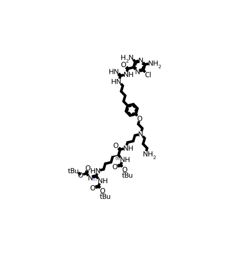 CC(C)(C)OC(=O)/N=C(\NCCCC[C@H](NC(=O)OC(C)(C)C)C(=O)NCCCN(CCCN)CCOc1ccc(CCCCNC(=N)NC(=O)c2nc(Cl)c(N)nc2N)cc1)NC(=O)OC(C)(C)C